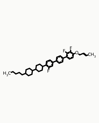 C/C=C/COc1ccc(-c2ccc(-c3ccc(C4CCC(C5CCC(CCCCC)CC5)CC4)c(F)c3)cc2)c(F)c1F